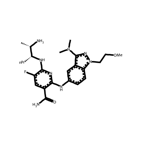 CCC[C@@H](Nc1nc(Nc2ccc3c(c2)c(N(C)C)nn3CCOC)c(C(N)=O)cc1F)[C@H](C)N